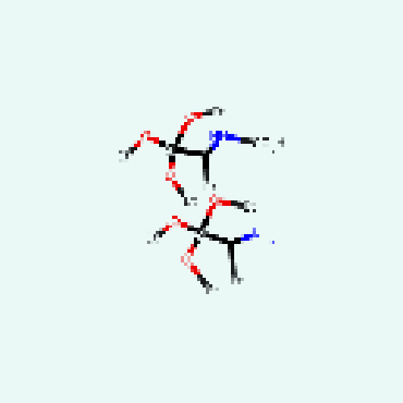 CCO[Si](OCC)(OCC)C(CC)NC(=O)O.CCO[Si](OCC)(OCC)C(N)CC